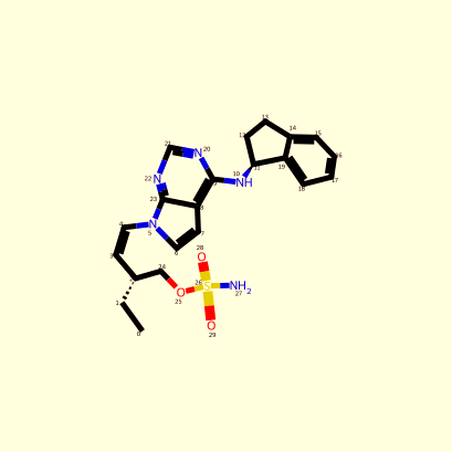 CC[C@H](/C=C\n1ccc2c(N[C@H]3CCc4ccccc43)ncnc21)COS(N)(=O)=O